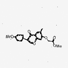 COC(=O)COc1cc2occ(-c3ccc(OC)cc3)c(=O)c2cc1C